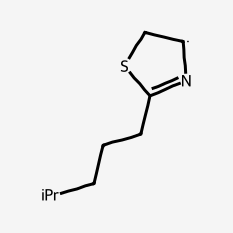 CC(C)CCCC1=N[CH]CS1